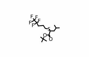 CC(C)CC(SCCCC(F)(F)C(F)(F)F)C(=O)OC(C)(C)C